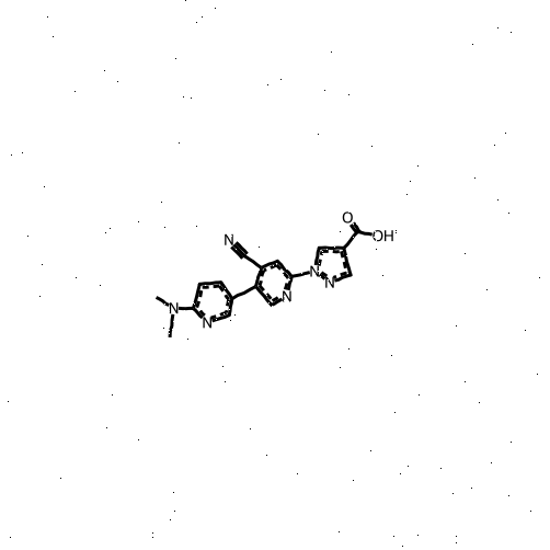 CN(C)c1ccc(-c2cnc(-n3cc(C(=O)O)cn3)cc2C#N)cn1